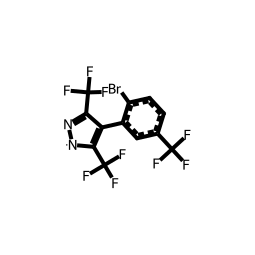 FC(F)(F)C1=N[N]C(C(F)(F)F)=C1c1cc(C(F)(F)F)ccc1Br